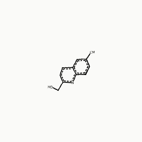 N#Cc1ccc2nc(CO)ccc2c1